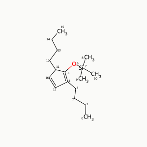 CCCCC1=C(O[Si](C)(C)C)C(CCCC)C=C1